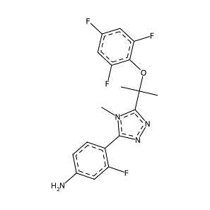 Cn1c(-c2ccc(N)cc2F)nnc1C(C)(C)Oc1c(F)cc(F)cc1F